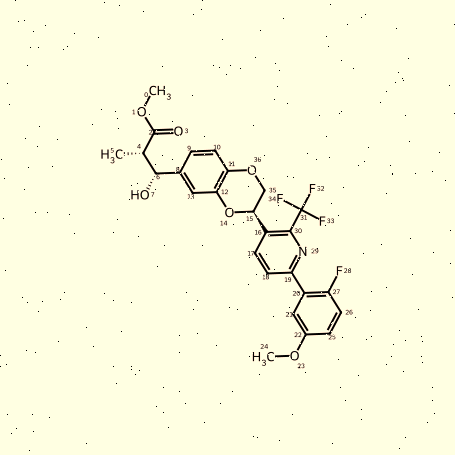 COC(=O)[C@@H](C)[C@@H](O)c1ccc2c(c1)O[C@H](c1ccc(-c3cc(OC)ccc3F)nc1C(F)(F)F)CO2